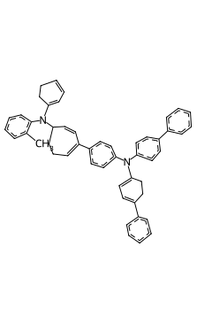 Cc1ccccc1N(C1=CC=CCC1)C1C=CC(c2ccc(N(C3=CC=C(c4ccccc4)CC3)c3ccc(-c4ccccc4)cc3)cc2)=CCC1